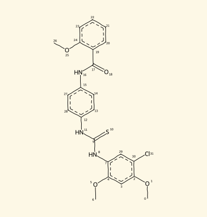 COc1cc(OC)c(NC(=S)Nc2ccc(NC(=O)c3ccccc3OC)cc2)cc1Cl